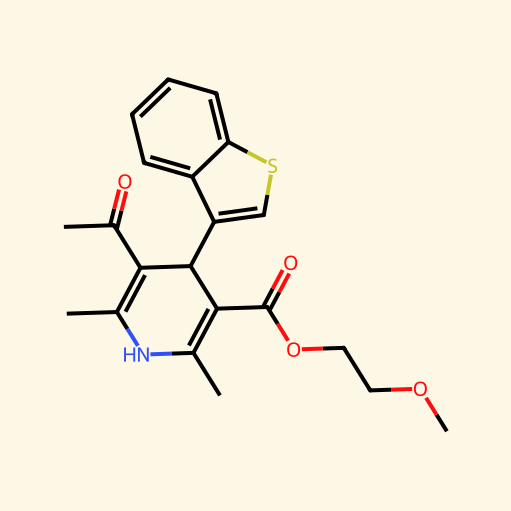 COCCOC(=O)C1=C(C)NC(C)=C(C(C)=O)C1c1csc2ccccc12